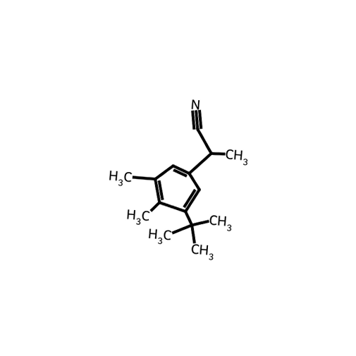 Cc1cc(C(C)C#N)cc(C(C)(C)C)c1C